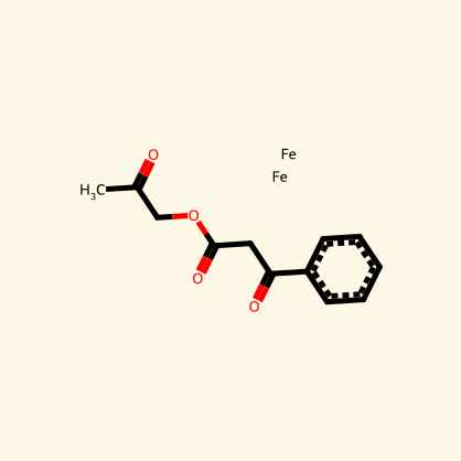 CC(=O)COC(=O)CC(=O)c1ccccc1.[Fe].[Fe]